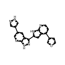 c1cc(-c2ccoc2)c2cc(-c3n[nH]c4ncc(-c5cn[nH]c5)cc34)[nH]c2n1